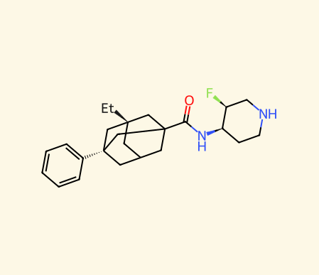 CC[C@]12CC3CC(C(=O)N[C@@H]4CCNC[C@@H]4F)(C1)C[C@@](c1ccccc1)(C3)C2